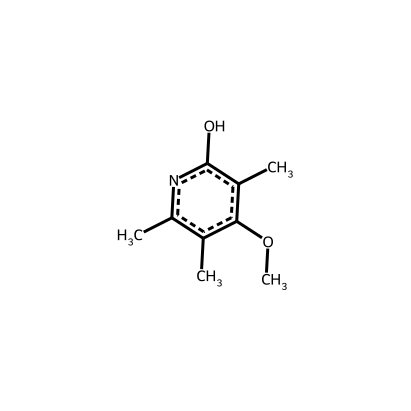 COc1c(C)c(C)nc(O)c1C